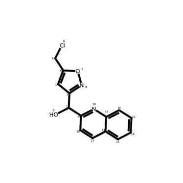 OC(c1cc(CCl)on1)c1ccc2ccccc2n1